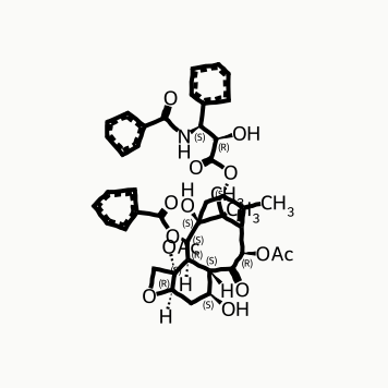 CC(=O)O[C@H]1C(=O)[C@H]2[C@H]([C@H](OC(=O)c3ccccc3)[C@]3(O)C[C@H](OC(=O)[C@H](O)[C@@H](NC(=O)c4ccccc4)c4ccccc4)C(C)=C1C3(C)C)[C@]1(OC(C)=O)CO[C@@H]1C[C@@H]2O